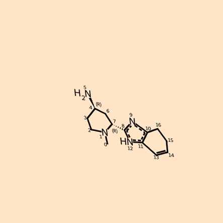 CN1CC[C@@H](N)C[C@@H]1c1nc2c([nH]1)C=CCC2